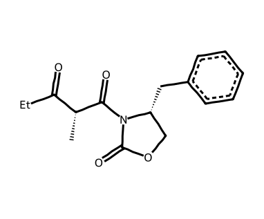 CCC(=O)[C@@H](C)C(=O)N1C(=O)OC[C@H]1Cc1ccccc1